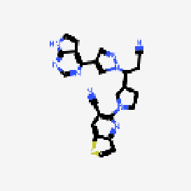 N#CCC(C1CCN(c2nc3ccsc3cc2C#N)C1)n1cc(-c2ncnc3[nH]ccc23)cn1